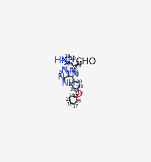 Nc1ncnc2c1c(-c1ccc(Oc3ccccc3)cc1)nn2C(=CC=O)c1c[nH]cn1